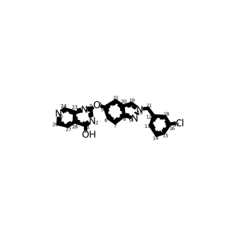 Oc1nc(Oc2ccc3nn(Cc4cccc(Cl)c4)cc3c2)nc2cnccc12